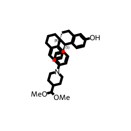 COC(OC)C1CCN(c2ccc([C@@H]3c4ccc(O)cc4CC[C@]34CCCc3ccccc34)cc2)CC1